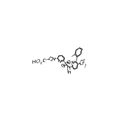 Cc1ccccc1-c1nc(NS(=O)(=O)c2cccc(N3CC(C(=O)O)C3)n2)ccc1C(F)(F)F